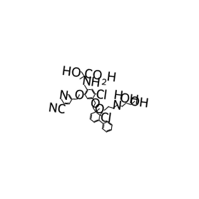 CC(CO)(NCc1cc(Cl)c(OCC2(OCCCNCC(O)CO)C=CC=C(c3ccccc3)C2(C)Cl)cc1OCc1cncc(C#N)c1)C(=O)O